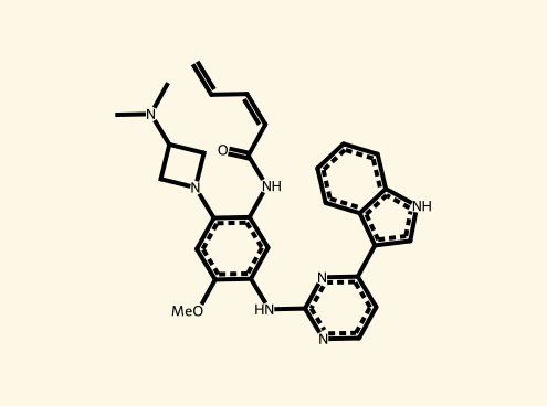 C=C/C=C\C(=O)Nc1cc(Nc2nccc(-c3c[nH]c4ccccc34)n2)c(OC)cc1N1CC(N(C)C)C1